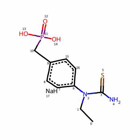 CCN(C(N)=S)c1ccc(CP(=O)(O)O)cc1.[NaH]